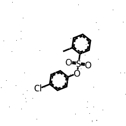 Cc1ccccc1S(=O)(=O)Oc1ccc(Cl)cc1